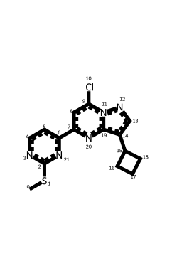 CSc1nccc(-c2cc(Cl)n3ncc(C4CCC4)c3n2)n1